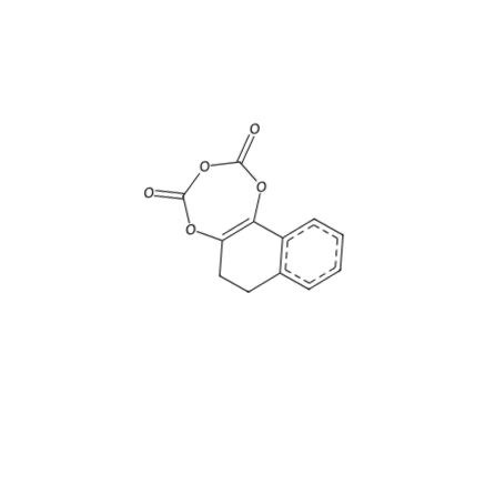 O=C1OC(=O)OC2=C(CCc3ccccc32)O1